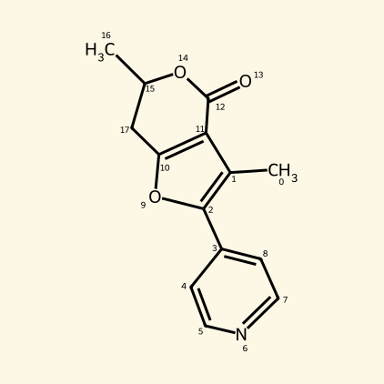 Cc1c(-c2ccncc2)oc2c1C(=O)OC(C)C2